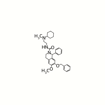 COc1cc2c(cc1OCc1ccccc1)C(c1ccccc1)N(C(=O)NCCN(C)C1CCCCC1)CC2